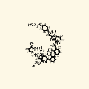 Cc1cc(-c2cccc(-c3cccc(Nc4nccc5sc(CN[C@H]6CC[C@H](C(=O)O)CC6)nc45)c3Cl)c2Cl)nc(OCF)c1CNC[C@@H]1CCC(=O)N1